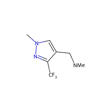 CNCc1cn(C)nc1C(F)(F)F